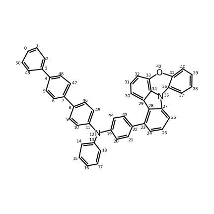 c1ccc(-c2ccc(-c3ccc(N(c4ccccc4)c4ccc(-c5cccc6c5c5cccc7c5n6-c5ccccc5O7)cc4)cc3)cc2)cc1